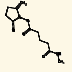 C=C1CCC(=O)N1OC(=O)CCCC(=O)NC